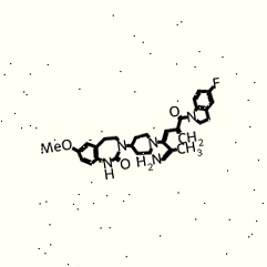 C=C(/C=C(\C(C)=C/N)N1CCC(N2CCc3cc(OC)ccc3NC2=O)CC1)C(=O)N1CCc2cc(F)ccc21